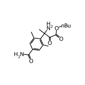 CCCCOC(=O)C(=O)C(C)(N)c1c(C)cc(C(N)=O)cc1C